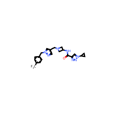 O=C(NC1CN(Cc2cnn(Cc3ccc(C(F)(F)F)cc3)c2)C1)c1cn(C2CC2)nn1